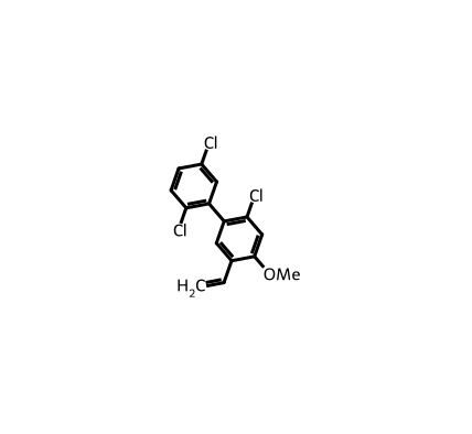 C=Cc1cc(-c2cc(Cl)ccc2Cl)c(Cl)cc1OC